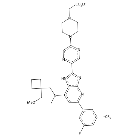 CCOC(=O)CN1CCN(c2cnc(-c3nc4nc(-c5cc(F)cc(C(F)(F)F)c5)cc(N(C)CC5(COC)CCC5)c4[nH]3)cn2)CC1